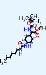 CCCCCCNC(=O)NC1CCC(C(NC(=O)OC(C)(C)C)C(=O)OC)CC1